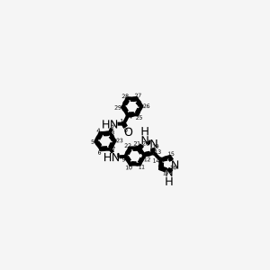 O=C(Nc1cccc(Nc2ccc3c(-c4cn[nH]c4)n[nH]c3c2)c1)c1ccccc1